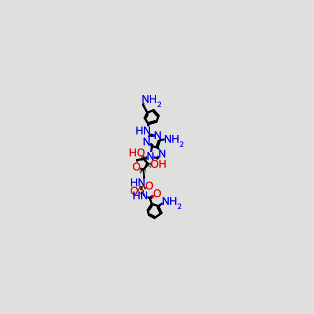 NCc1cccc(Nc2nc(N)c3ncn([C@]4(O)CO[C@H](CNS(=O)(=O)NC(=O)c5ccccc5N)[C@H]4O)c3n2)c1